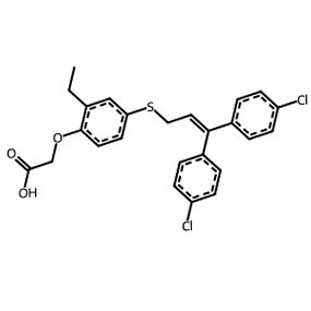 CCc1cc(SCC=C(c2ccc(Cl)cc2)c2ccc(Cl)cc2)ccc1OCC(=O)O